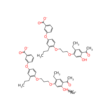 CCCc1cc(Oc2cccc(C(=O)[O-])c2)ccc1OCCCOc1cc(O)c(C(C)=O)cc1CC.CCCc1cc(Oc2cccc(C(=O)[O-])c2)ccc1OCCCOc1cc(O)c(C(C)=O)cc1CC.[Na+].[Na+]